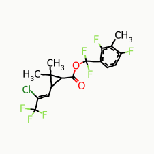 Cc1c(F)ccc(C(F)(F)OC(=O)C2C(C=C(Cl)C(F)(F)F)C2(C)C)c1F